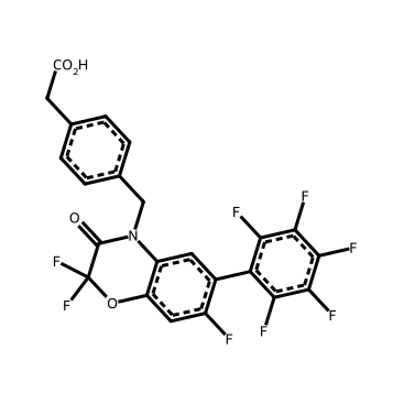 O=C(O)Cc1ccc(CN2C(=O)C(F)(F)Oc3cc(F)c(-c4c(F)c(F)c(F)c(F)c4F)cc32)cc1